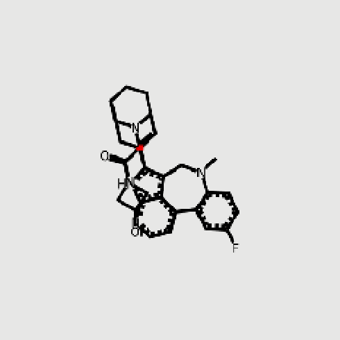 CN1Cc2c(C3=CC4CCCC(C3)N4CC(=O)N3CC(O)C3)[nH]c3nccc(c23)-c2cc(F)ccc21